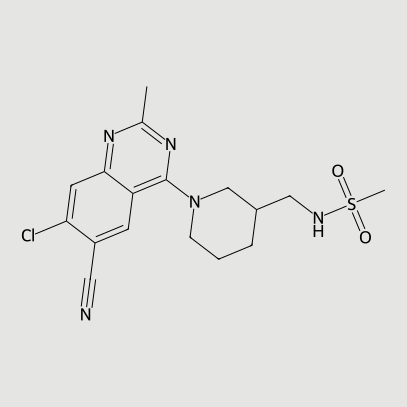 Cc1nc(N2CCCC(CNS(C)(=O)=O)C2)c2cc(C#N)c(Cl)cc2n1